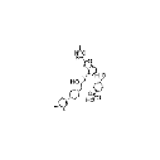 Cc1ccc(S(=O)(=O)O)cc1.Cc1nnc(-c2cc3c(OC[C@@H](O)CN4CCC(c5ccc(F)c(F)c5)CC4)cccc3o2)o1.O